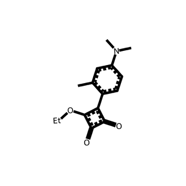 CCOc1c(-c2ccc(N(C)C)cc2C)c(=O)c1=O